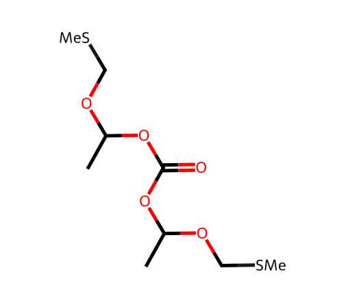 CSCOC(C)OC(=O)OC(C)OCSC